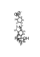 O=[N+]([O-])c1ccc(CN2CCc3cc(C(O)(C(F)(F)F)C(F)(F)F)ccc32)cc1